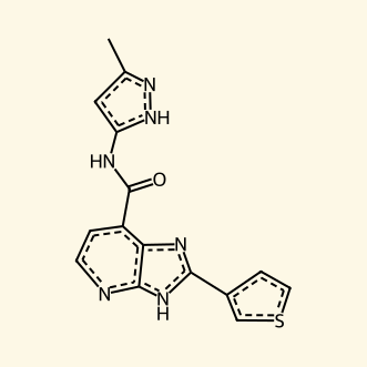 Cc1cc(NC(=O)c2ccnc3[nH]c(-c4ccsc4)nc23)[nH]n1